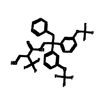 O=C(NCC(Cc1ccccc1)(c1cccc(OC(F)(F)F)c1)c1cccc(OC(F)(F)F)c1)C(CO)C(F)(F)F